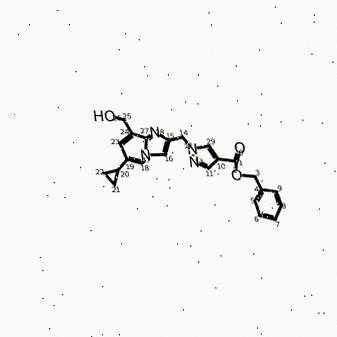 O=C(OCc1ccccc1)c1cnn(Cc2cn3cc(C4CC4)cc(CO)c3n2)c1